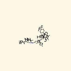 CCC1C2CC(/C=C3/CC(C(C)C)=NN=C3C)CC2N1CC[C@H](NC(=O)C1CCC(F)(F)CC1)c1cc(C)c(C)s1